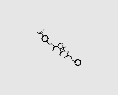 O=C(COc1ccccc1)N[C@@H]1C(=O)N2C(C(=O)OCc3ccc([N+](=O)[O-])cc3)CS[C@H]12